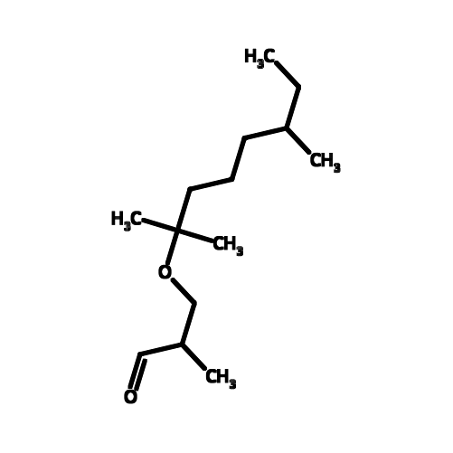 CCC(C)CCCC(C)(C)OCC(C)C=O